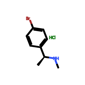 CN[C@@H](C)c1ccc(Br)cc1.Cl